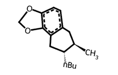 CCCC[C@@H]1Cc2c(ccc3c2OCO3)C[C@H]1C